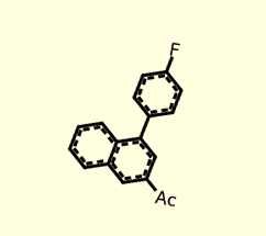 CC(=O)c1cc(-c2ccc(F)cc2)c2ccccc2c1